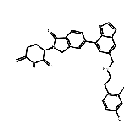 O=C1CCC(N2Cc3cc(-c4cc(CNCCc5ccc(Cl)cc5Cl)cn5ccnc45)ccc3C2=O)C(=O)N1